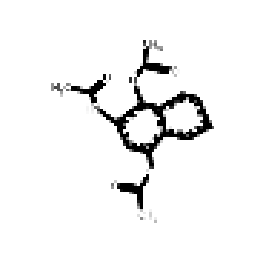 CC(=O)Nc1cc(OC(C)=O)c2ccccc2c1OC(C)=O